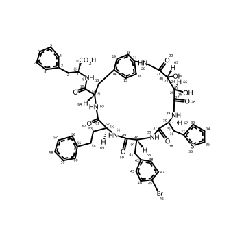 O=C(O)[C@H](Cc1ccccc1)NC(=O)[C@@H]1Cc2ccc(cc2)NC(=O)[C@H](O)[C@@H](O)C(=O)N[C@@H](Cc2cccs2)C(=O)N[C@H](Cc2ccc(Br)cc2)C(=O)N[C@@H](CCc2ccccc2)C(=O)N1